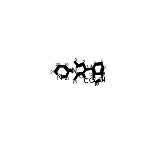 CC1=CC(c2cccc3ncsc23)C(C(=O)O)=C(C)N1c1cccnc1